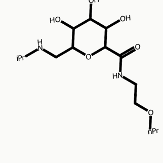 CCCOCCNC(=O)C1OC(CNC(C)C)C(O)C(O)C1O